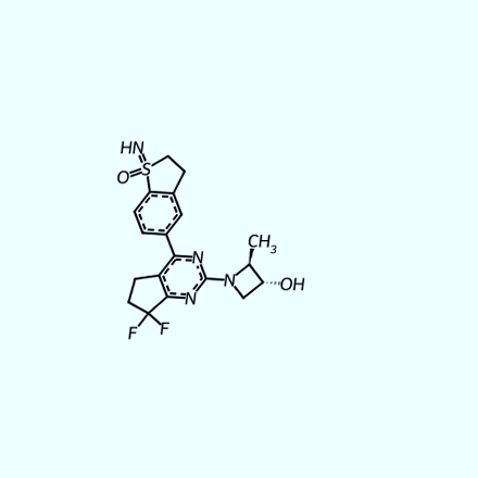 C[C@H]1[C@H](O)CN1c1nc(-c2ccc3c(c2)CCS3(=N)=O)c2c(n1)C(F)(F)CC2